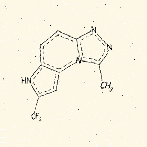 Cc1nnc2ccc3[nH]c(C(F)(F)F)cc3n12